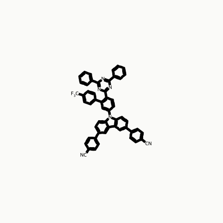 N#Cc1ccc(-c2ccc3c(c2)c2cc(-c4ccc(C#N)cc4)ccc2n3-c2ccc(-c3nc(-c4ccccc4)nc(-c4ccccc4)n3)c(-c3ccc(C(F)(F)F)cc3)c2)cc1